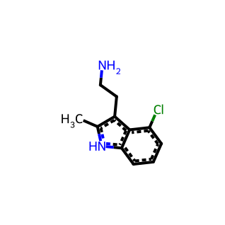 Cc1[nH]c2cccc(Cl)c2c1CCN